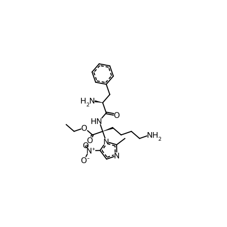 CCOC(=O)[C@](CCCCN)(NC(=O)[C@@H](N)Cc1ccccc1)n1c([N+](=O)[O-])cnc1C